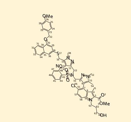 COC(=O)c1c(C)c2c(-c3c(CN(Cc4cc(CSc5cc(OCc6ccc(OC)cc6)c6ccccc6c5)n(C)n4)S(=O)(=O)c4ccccc4[N+](=O)[O-])nn(C)c3C)c(Cl)ccc2n1CCCO